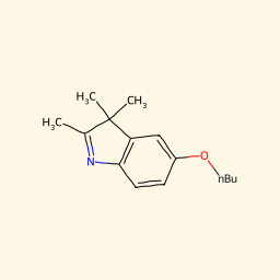 CCCCOc1ccc2c(c1)C(C)(C)C(C)=N2